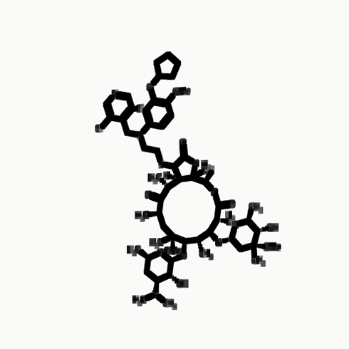 COc1ccc(N(CCSC2C(=O)O[C@@]3(C)[C@H]2[C@@H](C)C(=O)[C@H](C)C[C@@](C)(OC)[C@H](O[C@@H]2O[C@H](C)C[C@H](N(C)C)[C@H]2O)[C@@H](C)[C@H](O[C@H]2C[C@@](C)(OC)[C@@H](O)[C@H](C)O2)[C@@H](C)C(=O)O[C@@H]3I)Cc2c(Cl)cncc2Cl)cc1OC1CCCC1